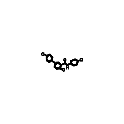 O=C(Nc1ccc(Cl)cc1)c1cn(-c2ccc(Cl)cc2)ccc1=O